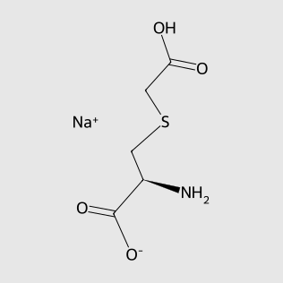 N[C@H](CSCC(=O)O)C(=O)[O-].[Na+]